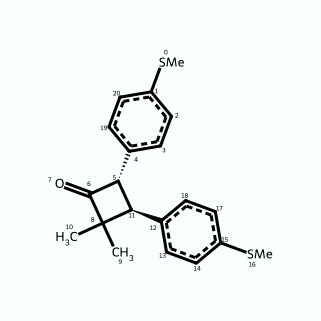 CSc1ccc([C@H]2C(=O)C(C)(C)[C@@H]2c2ccc(SC)cc2)cc1